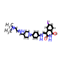 CN(C)CCNCC1CCN(c2ccc(N/C=C3\C(=O)NC(=O)c4ccc(I)cc43)cc2)CC1